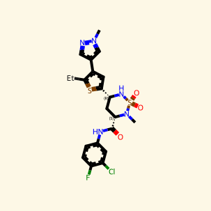 CCc1sc([C@H]2C[C@@H](C(=O)Nc3ccc(F)c(Cl)c3)N(C)S(=O)(=O)N2)cc1-c1cnn(C)c1